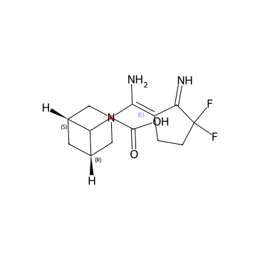 N=C1/C(=C(\N)N2C[C@H]3C[C@@H](C2)C3CC(=O)O)CCC1(F)F